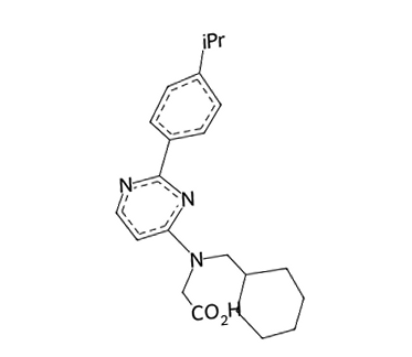 CC(C)c1ccc(-c2nccc(N(CC(=O)O)CC3CCCCC3)n2)cc1